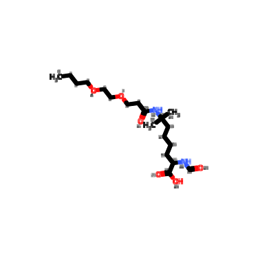 CCCCOCCOCCC(=O)NC(C)(C)CCCCC(NC=O)C(=O)O